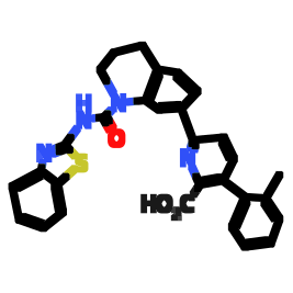 Cc1ccccc1-c1ccc(-c2ccc3c(c2)N(C(=O)Nc2nc4ccccc4s2)CCC3)nc1C(=O)O